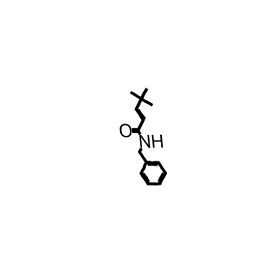 CC(C)(C)/C=C/C(=O)NCc1ccccc1